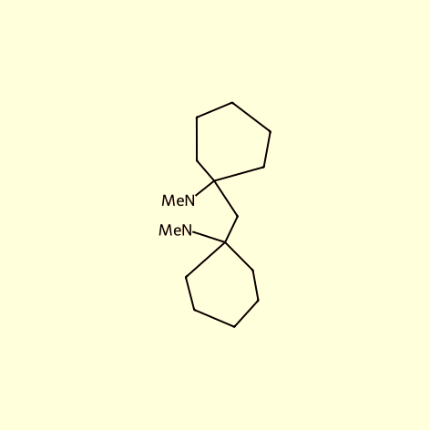 CNC1(CC2(NC)CCCCC2)CCCCC1